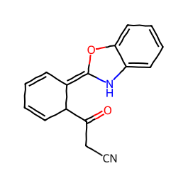 N#CCC(=O)C1C=CC=CC1=C1Nc2ccccc2O1